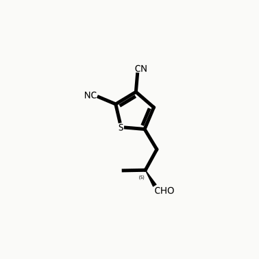 C[C@H](C=O)Cc1cc(C#N)c(C#N)s1